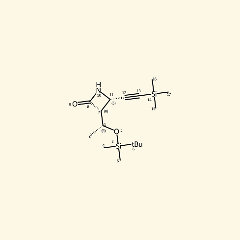 C[C@@H](O[Si](C)(C)C(C)(C)C)[C@@H]1C(=O)N[C@@H]1C#C[Si](C)(C)C